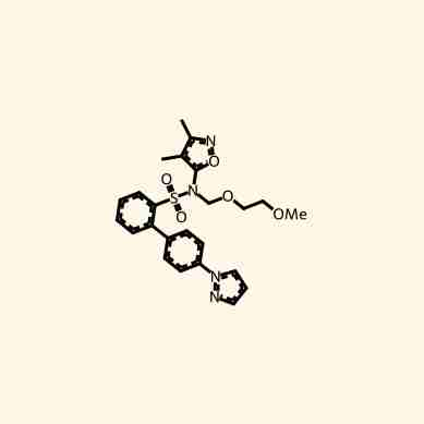 COCCOCN(c1onc(C)c1C)S(=O)(=O)c1ccccc1-c1ccc(-n2cccn2)cc1